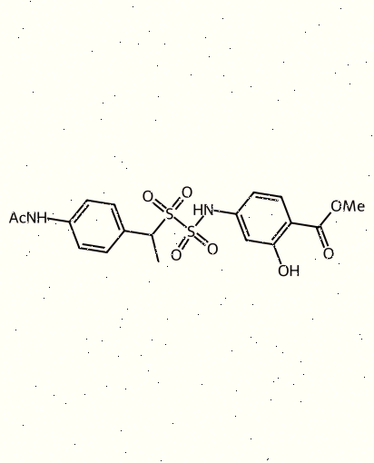 COC(=O)c1ccc(NS(=O)(=O)S(=O)(=O)C(C)c2ccc(NC(C)=O)cc2)cc1O